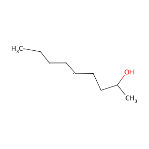 CCCC[CH]CCC(C)O